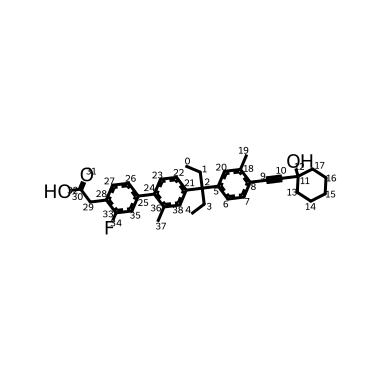 CCC(CC)(c1ccc(C#CC2(O)CCCCC2)c(C)c1)c1ccc(-c2ccc(CC(=O)O)c(F)c2)c(C)c1